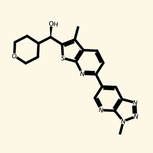 Cc1c([C@H](O)C2CCOCC2)sc2nc(-c3cnc4c(c3)nnn4C)ccc12